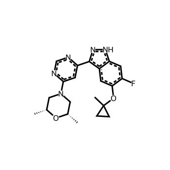 C[C@@H]1CN(c2cc(-c3n[nH]c4cc(F)c(OC5(C)CC5)cc34)ncn2)C[C@H](C)O1